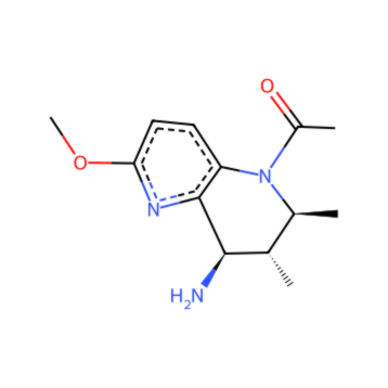 COc1ccc2c(n1)[C@H](N)[C@@H](C)[C@H](C)N2C(C)=O